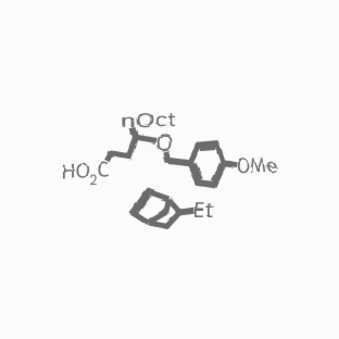 CCC1CC2C=CC1C2.CCCCCCCCC(CCC(=O)O)OCc1ccc(OC)cc1